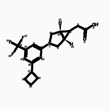 O=C(O)CC1[C@H]2CN(c3cc(C(F)(F)F)nc(C4CCC4)n3)C[C@@H]12